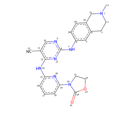 CN1CCc2cc(Nc3ncc(C#N)c(Nc4cccc(N5CCOC5=O)n4)n3)ccc2C1